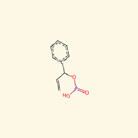 C=CC(O[P](=O)O)[14c]1ccccc1